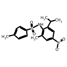 Cc1ccc(S(=O)(=O)Nc2c(C)cc([N+](=O)[O-])cc2C(C)C)cc1